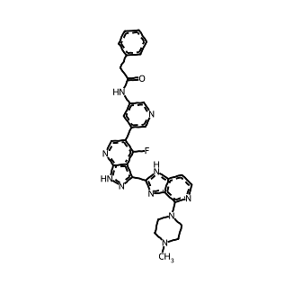 CN1CCN(c2nccc3[nH]c(-c4n[nH]c5ncc(-c6cncc(NC(=O)Cc7ccccc7)c6)c(F)c45)nc23)CC1